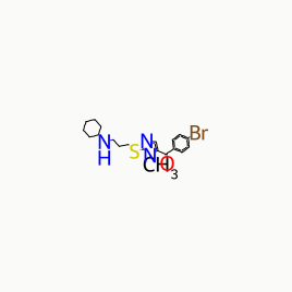 Cn1c(C(=O)c2ccc(Br)cc2)cnc1SCCCNC1CCCCC1